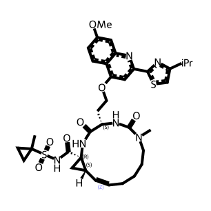 COc1ccc2c(OCC[C@@H]3NC(=O)N(C)CCCC/C=C\[C@@H]4C[C@@]4(C(=O)NS(=O)(=O)C4(C)CC4)NC3=O)cc(-c3nc(C(C)C)cs3)nc2c1